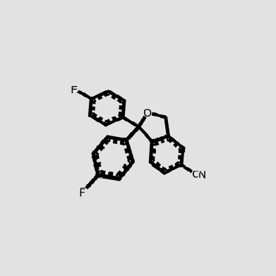 N#Cc1ccc2c(c1)COC2(c1ccc(F)cc1)c1ccc(F)cc1